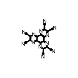 N#Cc1nc2c3c(c4nc(C#N)c(C#N)nc4c2nc1C#N)=NC(C#N)C(C#N)N=3